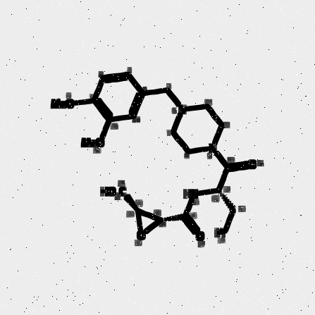 COc1ccc(CN2CCN(C(=O)[C@H](CC(C)C)NC(=O)[C@@H]3O[C@H]3C(=O)O)CC2)cc1OC